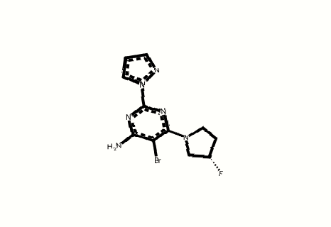 Nc1nc(-n2cccn2)nc(N2CC[C@H](F)C2)c1Br